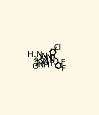 CC1(C)C(=O)Nc2nc(-n3nc(Cc4c(F)ccc(F)c4F)c4cc(Cl)ccc43)nc(N)c21